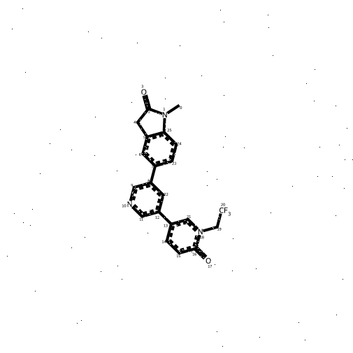 CN1C(=O)Cc2cc(-c3cncc(-c4ccc(=O)n(CC(F)(F)F)c4)c3)ccc21